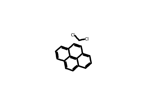 ClCCl.c1cc2ccc3cccc4ccc(c1)c2c34